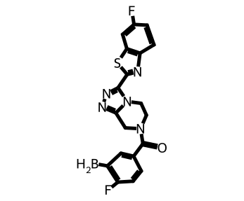 Bc1cc(C(=O)N2CCn3c(nnc3-c3nc4ccc(F)cc4s3)C2)ccc1F